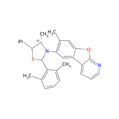 Cc1cc2oc3ncccc3c2cc1N1C(c2c(C)cccc2C)SC(C(C)C)[C@@H]1C